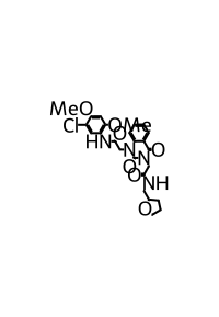 COc1cc(OC)c(NC(=O)Cn2c(=O)n(CC(=O)NCC3CCCO3)c(=O)c3ccccc32)cc1Cl